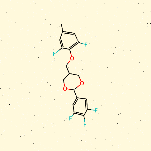 Cc1cc(F)c(OCC2COC(c3cc(F)c(F)c(F)c3)OC2)c(F)c1